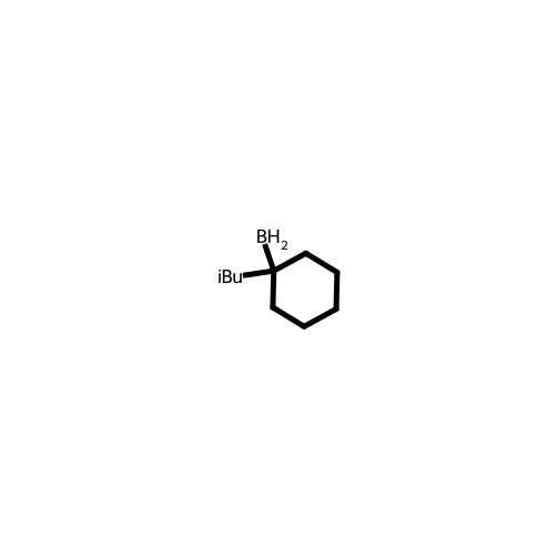 BC1(C(C)CC)CCCCC1